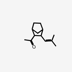 CC(=O)C1C2CCC(C2)C1C=C(C)C